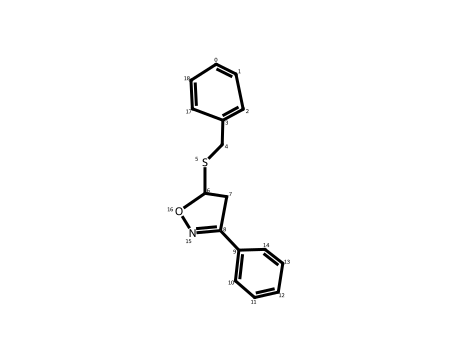 c1ccc(CSC2CC(c3ccccc3)=NO2)cc1